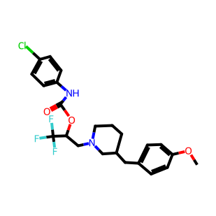 COc1ccc(CC2CCCN(CC(OC(=O)Nc3ccc(Cl)cc3)C(F)(F)F)C2)cc1